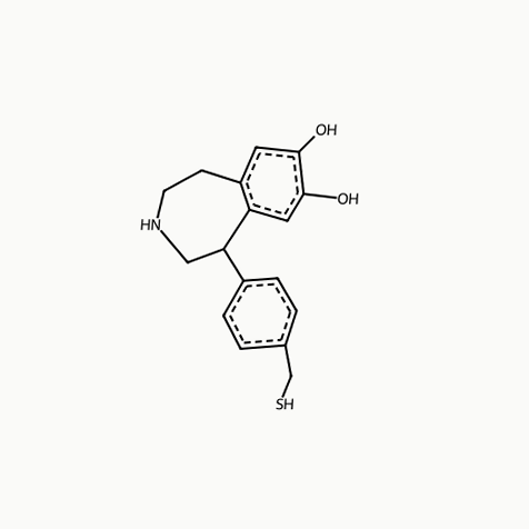 Oc1cc2c(cc1O)C(c1ccc(CS)cc1)CNCC2